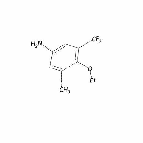 CCOc1c(C)cc(N)cc1C(F)(F)F